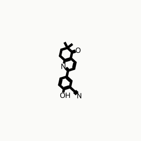 CC1(C)CCc2nc(-c3ccc(O)c(C#N)c3)ccc2C1=O